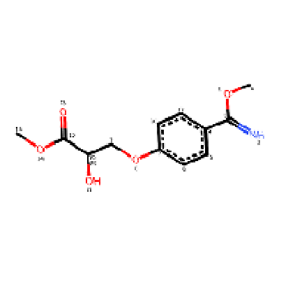 COC(=N)c1ccc(OC[C@@H](O)C(=O)OC)cc1